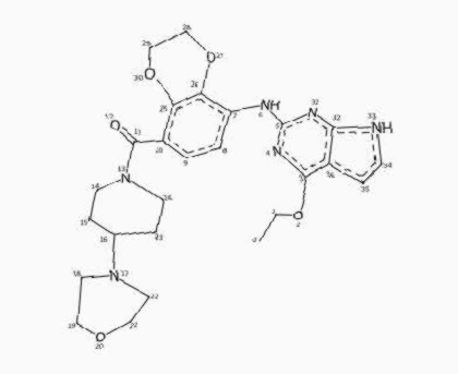 CCOc1nc(Nc2ccc(C(=O)N3CCC(N4CCOCC4)CC3)c3c2OCCO3)nc2[nH]ccc12